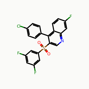 O=S(=O)(c1cc(F)cc(F)c1)c1cnc2cc(F)ccc2c1-c1ccc(Cl)cc1